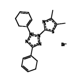 Cc1nc(-n2nc(C3=CC=CCC3)n[n+]2C2=CC=CCC2)sc1C.[Br-]